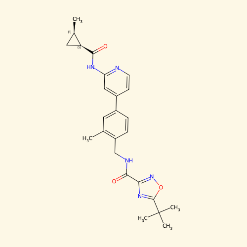 Cc1cc(-c2ccnc(NC(=O)[C@H]3C[C@H]3C)c2)ccc1CNC(=O)c1noc(C(C)(C)C)n1